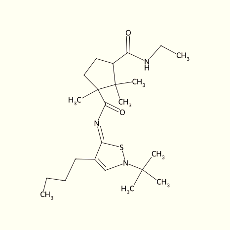 CCCCc1cn(C(C)(C)C)s/c1=N\C(=O)C1(C)CCC(C(=O)NCC)C1(C)C